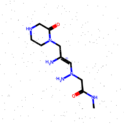 CNC(=O)CN(N)/C=C(\N)CN1CCNCC1=O